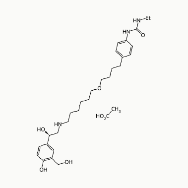 CC(=O)O.CCNC(=O)Nc1ccc(CCCCOCCCCCCNC[C@H](O)c2ccc(O)c(CO)c2)cc1